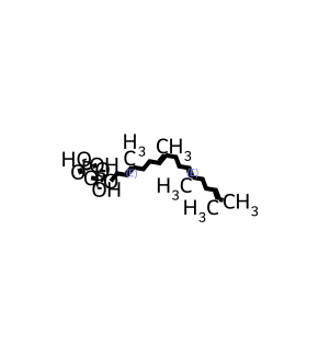 CC(C)=CCC/C(C)=C/CCC(C)=CCC/C(C)=C/COP(=O)(O)OP(=O)(O)O